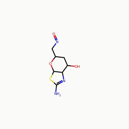 NC1=NC2C(O)CC(CN=O)OC2S1